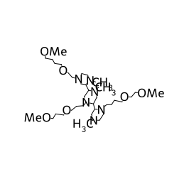 COCCCCOCCN1CCN(C)C(C2CN(CCCOCCCOC)C(C3CN(C)CCN3CCCCOCCOC)CN2C)C1